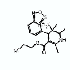 CC1=C(C(=O)OCCC#N)C(c2cccc3nonc23)C(C)(C(=O)O)C(C)N1